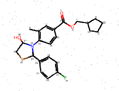 Cc1cc(C(=O)OCC2CCCC2)ccc1N1C(O)CSC1c1ccc(F)cc1